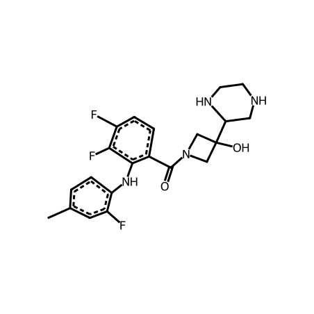 Cc1ccc(Nc2c(C(=O)N3CC(O)(C4CNCCN4)C3)ccc(F)c2F)c(F)c1